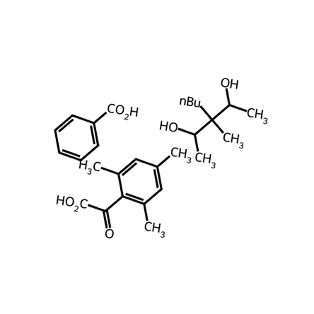 CCCCC(C)(C(C)O)C(C)O.Cc1cc(C)c(C(=O)C(=O)O)c(C)c1.O=C(O)c1ccccc1